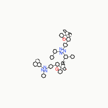 C1=Cc2cc(-c3nc(-c4ccccc4)nc(-c4ccc(-c5cccc6c5Oc5ccccc5C65c6ccccc6-c6cc(-c7cc(-c8ccccc8)cc(-c8nc(-c9ccc(-c%10cccc%11c%10Oc%10ccccc%10C%11%10c%11ccccc%11-c%11ccccc%11%10)cc9)nc(-c9cccc(-c%10ccccc%10)c9)n8)c7)ccc65)cc4)n3)cc3cccc(c23)C1